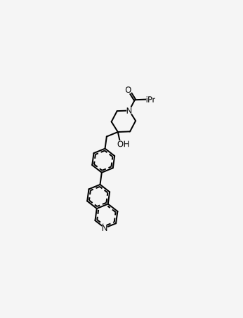 CC(C)C(=O)N1CCC(O)(Cc2ccc(-c3ccc4cnccc4c3)cc2)CC1